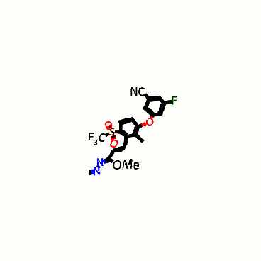 C=N/N=C(/C=C/c1c(S(=O)(=O)C(F)(F)F)ccc(Oc2cc(F)cc(C#N)c2)c1C)OC